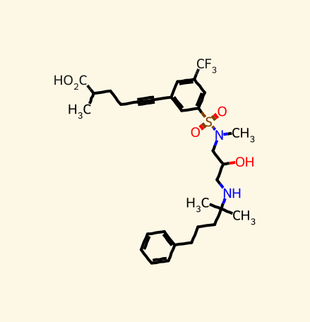 CC(CCC#Cc1cc(C(F)(F)F)cc(S(=O)(=O)N(C)CC(O)CNC(C)(C)CCCc2ccccc2)c1)C(=O)O